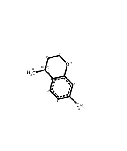 Cc1ccc2c(c1)OCC[C@@H]2C